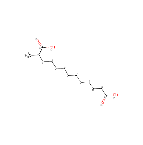 C[C](CCCCCCCCCCC(=O)O)C(=O)O